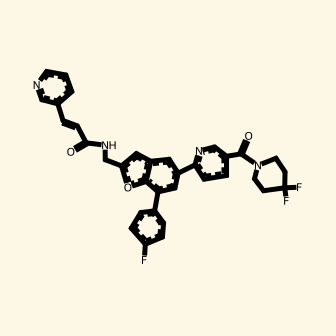 O=C(C=Cc1cccnc1)NCc1cc2cc(-c3ccc(C(=O)N4CCC(F)(F)CC4)cn3)cc(-c3ccc(F)cc3)c2o1